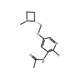 CC(=O)Nc1cc(OC[C@H]2CCN2C)cnc1F